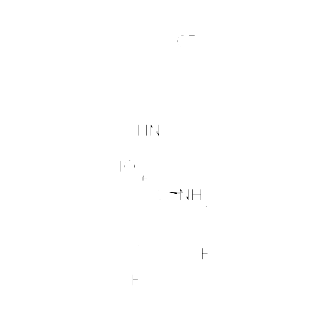 N[C@@H](Cc1cc(F)cc(F)c1)[C@H](O)CN[C@H]1CCCc2c1cccc2C(F)(F)F